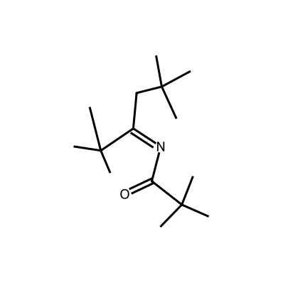 CC(C)(C)C/C(=N/C(=O)C(C)(C)C)C(C)(C)C